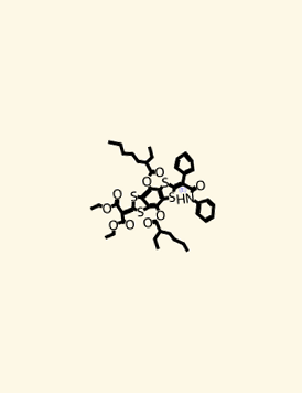 CCCCCC(CC)C(=O)Oc1c2c(c(OC(=O)C(CC)CCCC)c3c1S/C(=C(/C(=O)Nc1ccccc1)c1ccccc1)S3)SC(=C(C(=O)OCC)C(=O)OCC)S2